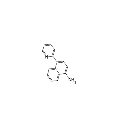 Nc1ccc(-c2ccccn2)c2ccccc12